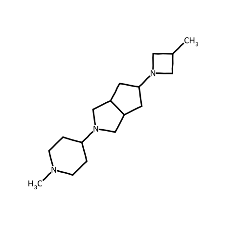 CC1CN(C2CC3CN(C4CCN(C)CC4)CC3C2)C1